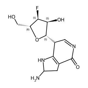 NC1CC2=C(N1)C([C@@H]1O[C@H](CO)[C@@H](F)[C@H]1O)C=NC2=O